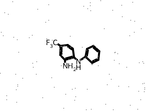 Nc1cc(C(F)(F)F)ccc1Nc1[c]cccc1